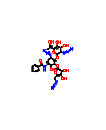 C[C@@H](O)C1O[C@H](O[C@@H]2C(N=[N+]=[N-])C[C@@H](NC(=O)c3ccccc3)C(O)C2O[C@@H]2O[C@H](CN=[N+]=[N-])C(O)C2O)C(N=[N+]=[N-])C(O)[C@@H]1O